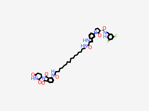 O=C1CCC(N2C(=O)c3cccc(NC(=O)CCCCCCCCCCCCCCCCNC(=O)c4cc5cc(N6CC[C@H](C(=O)NCc7cc(F)cc(F)c7)C6=O)ccc5[nH]4)c3C2=O)C(=O)N1